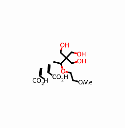 C=CC(=O)O.C=CC(=O)O.COCCOC(C)C(CO)(CO)CO